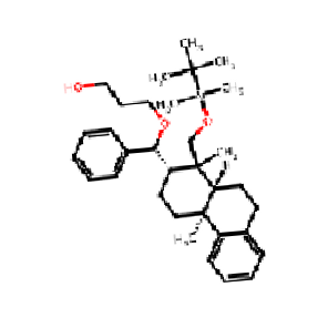 CC1(CO[Si](C)(C)C(C)(C)C)[C@@H](C(OCCCO)c2ccccc2)CC[C@]2(C)c3ccccc3CC[C@@H]12